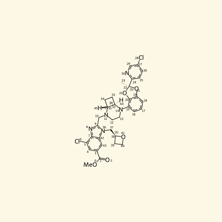 COC(=O)c1cc(Cl)c2nc(CN3CCN(c4cccc5c4O[C@@](C)(c4ccc(Cl)cn4)O5)[C@@H]4CC[C@H]43)n(C[C@@H]3CCO3)c2c1